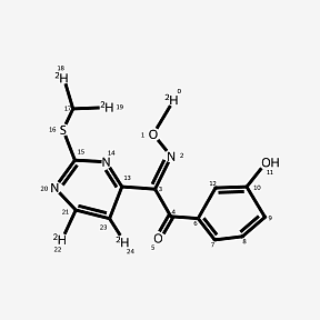 [2H]ON=C(C(=O)c1cccc(O)c1)c1nc(SC([2H])[2H])nc([2H])c1[2H]